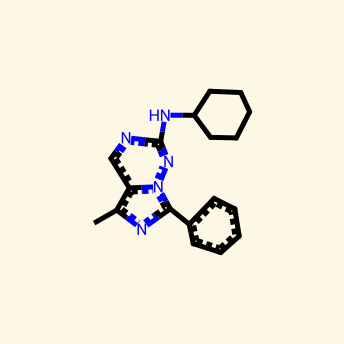 Cc1nc(-c2ccccc2)n2nc(NC3CCCCC3)ncc12